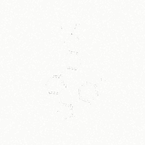 O=c1ccn(-c2cccc(OC(F)(F)F)c2)nc1-c1ccnn1-c1ccccc1.S